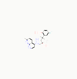 Cc1ccc2c(NCC(O)(CC(C)(C)c3cc(F)ccc3O)C(F)(F)F)ccnc2n1